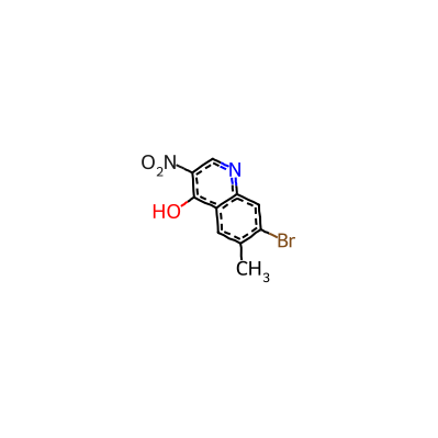 Cc1cc2c(O)c([N+](=O)[O-])cnc2cc1Br